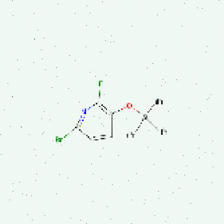 CC(C)[Si](Oc1ccc(Br)nc1F)(C(C)C)C(C)C